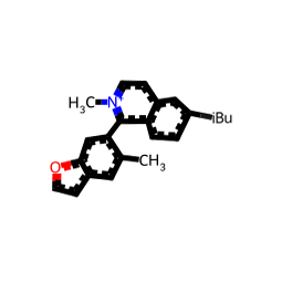 CCC(C)c1ccc2c(-c3cc4occc4cc3C)[n+](C)ccc2c1